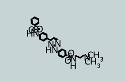 CN(C)CCCNS(=O)(=O)c1ccc(Nc2nccc(-c3ccc(NS(=O)(=O)c4ccccc4)cc3)n2)cc1